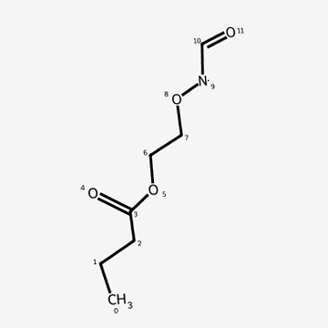 CCCC(=O)OCCO[N]C=O